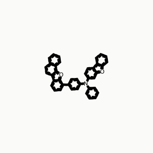 c1ccc(N(c2ccc(-c3cccc4c3oc3c5ccccc5ccc43)cc2)c2ccc3c(c2)oc2ccccc23)cc1